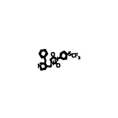 O=C1CN(Cc2ccncc2Cc2ccccc2)C(=O)N1c1ccc(SC(F)(F)F)cc1